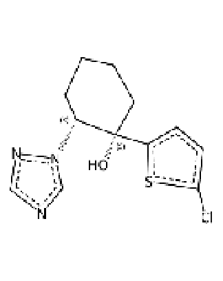 O[C@@]1(c2ccc(Cl)s2)CCCC[C@H]1n1cncn1